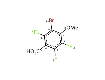 COc1c(F)c(F)c(C(=O)O)c(F)c1Br